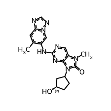 Cc1cc2ncnn2cc1Nc1ncc2c(n1)n(C1CC[C@@H](O)C1)c(=O)n2C